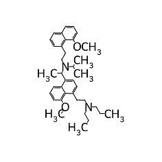 CCCN(CCC)CCc1ccc(C(C)N(CCc2cccc3cccc(OC)c23)C(C)C)c2cccc(OC)c12